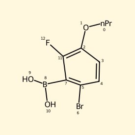 CCCOc1ccc(Br)c(B(O)O)c1F